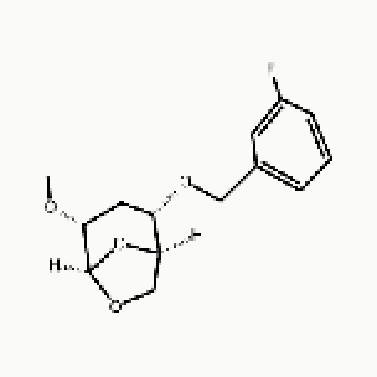 CO[C@@H]1C[C@H](OCc2cccc(F)c2)[C@H]2CO[C@@H]1O2